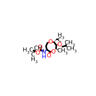 CC[C@H]1OCC[C@H](NC(=O)OC(C)(C)C)C(=O)O[C@@H](C)[C@@H]1OCC(C)C